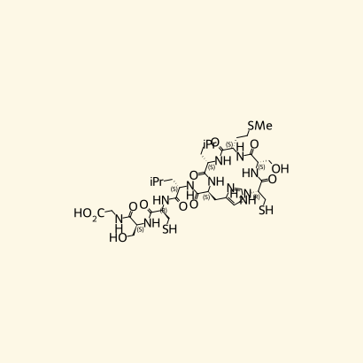 CSCC[C@H](NC(=O)[C@H](CO)NC(=O)[C@@H](N)CS)C(=O)N[C@@H](CC(C)C)C(=O)N[C@@H](Cc1c[nH]cn1)C(=O)N[C@@H](CC(C)C)C(=O)N[C@@H](CS)C(=O)N[C@@H](CO)C(=O)NCC(=O)O